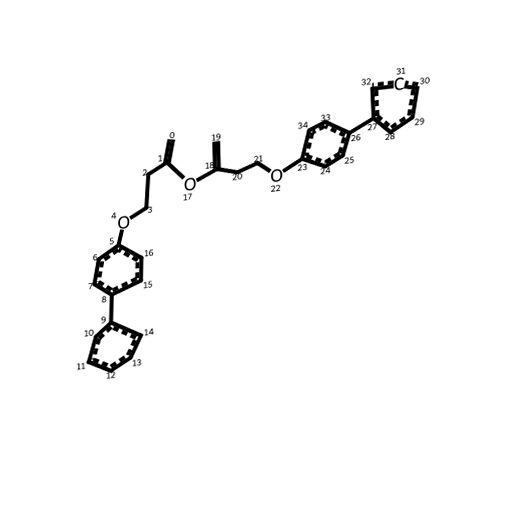 C=C(CCOc1ccc(-c2ccccc2)cc1)OC(=C)CCOc1ccc(-c2ccccc2)cc1